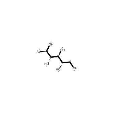 CC(=O)[C@@H](O)[C@@H](O)[C@@H](O)[C@@H](O)CO